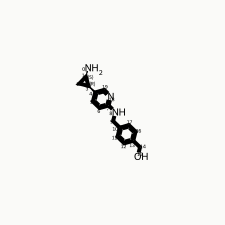 N[C@H]1C[C@@H]1c1ccc(NCc2ccc(CO)cc2)nc1